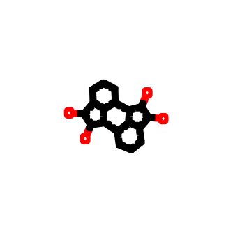 O=c1c(=O)c2c3cccc4c(=O)c(=O)c(c5cccc1c52)c43